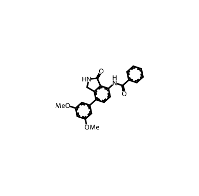 COc1cc(OC)cc(-c2ccc(NC(=O)c3ccccc3)c3c2CNC3=O)c1